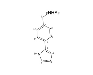 CC(=O)NCc1ccc(-c2cc[c]s2)cc1